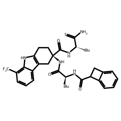 CCC(C)[C@H](NC(=O)C1Cc2ccccc21)C(=O)N[C@]1(C(=O)N[C@H](C(N)=S)C(C)CC)CCc2[nH]c3c(C(F)(F)F)cccc3c2C1